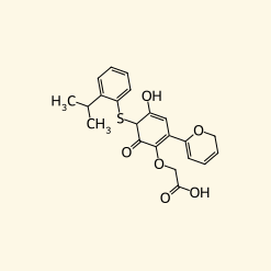 CC(C)c1ccccc1SC1C(=O)C(OCC(=O)O)=C(C2=CC=CCO2)C=C1O